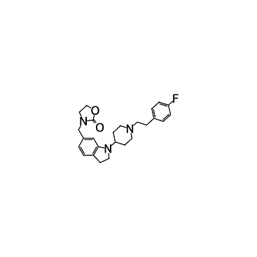 O=C1OCCN1Cc1ccc2c(c1)N(C1CCN(CCc3ccc(F)cc3)CC1)CC2